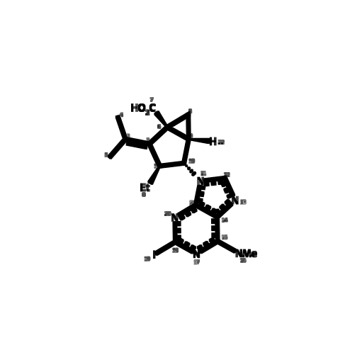 CC[C@H]1C(=C(C)C)[C@]2(C(=O)O)C[C@@H]2[C@@H]1n1cnc2c(NC)nc(I)nc21